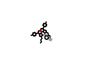 CCCCC1=Cc2c(-c3ccc(C)cc3)cccc2[CH]1[Hf+2]1([CH]2C(CCCC)=Cc3c(-c4ccc(C)cc4)cccc32)[CH]2CCCC[CH]21.[Cl-].[Cl-]